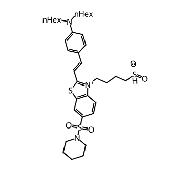 CCCCCCN(CCCCCC)c1ccc(C=Cc2sc3cc(S(=O)(=O)N4CCCCC4)ccc3[n+]2CCCC[SH](=O)=O)cc1